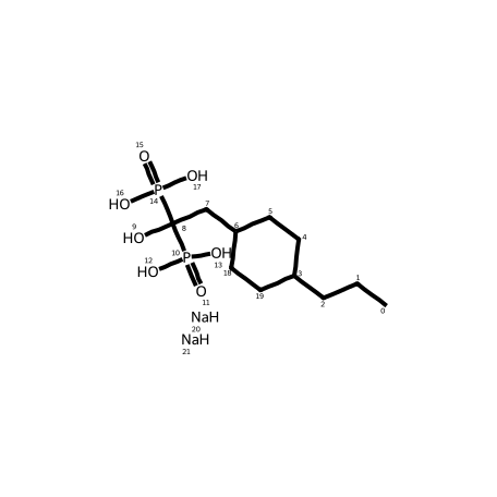 CCCC1CCC(CC(O)(P(=O)(O)O)P(=O)(O)O)CC1.[NaH].[NaH]